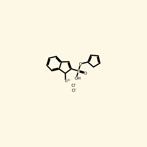 O=P(O)(OC1=CC=CC1)C1=Cc2ccccc2[CH]1[Ti+2].[Cl-].[Cl-]